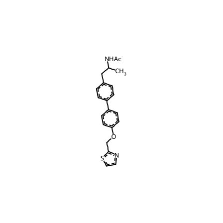 CC(=O)NC(C)Cc1ccc(-c2ccc(OCc3nccs3)cc2)cc1